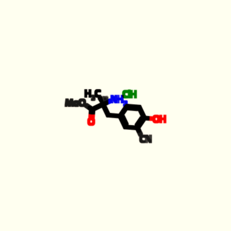 COC(=O)[C@](C)(N)Cc1ccc(O)c(C#N)c1.Cl